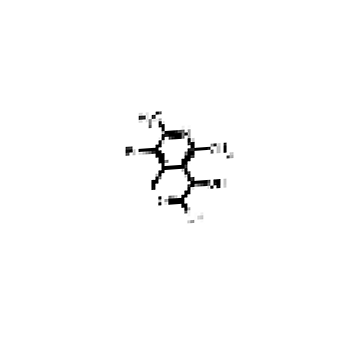 Cc1nc(C)c(C(O)C(=O)O)c(I)c1Br